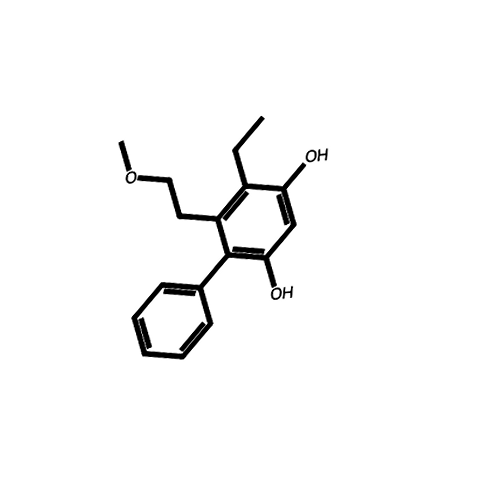 CCc1c(O)cc(O)c(-c2ccccc2)c1CCOC